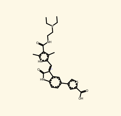 CCN(CC)CCNC(=O)c1c(C)[nH]c(/C=C2\C(=O)Nc3ccc(-c4csc(C(=O)O)c4)cc32)c1C